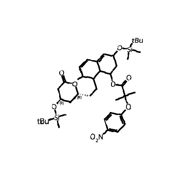 CC1C=CC2=CC(O[Si](C)(C)C(C)(C)C)CC(OC(=O)C(C)(C)Oc3ccc([N+](=O)[O-])cc3)C2C1CC[C@@H]1C[C@@H](O[Si](C)(C)C(C)(C)C)CC(=O)O1